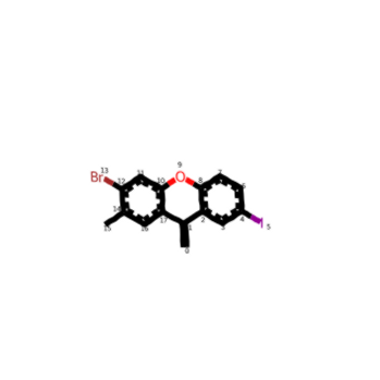 C=C1c2cc(I)ccc2Oc2cc(Br)c(C)cc21